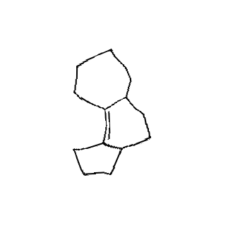 C1CCC2CCC3CCCC3=C2C1